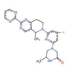 CC1CN(c2cc(F)cc(N3CCc4nc(-c5ncccn5)ncc4C3C)n2)CC(=O)N1